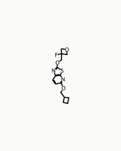 FC1(COc2nc3ccc(OCC4CCC4)nc3s2)COC1